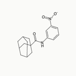 O=C(Nc1cccc([N+](=O)[O-])c1)C12CC3CC(CC(C3)C1)C2